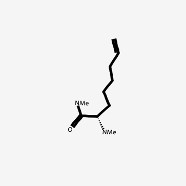 C=CCCCC[C@H](NC)C(=O)NC